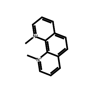 C[n+]1cccc2ccc3ccc[n+](C)c3c21